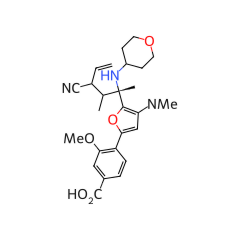 C=CC(C#N)C(C)[C@](C)(NC1CCOCC1)c1oc(-c2ccc(C(=O)O)cc2OC)cc1NC